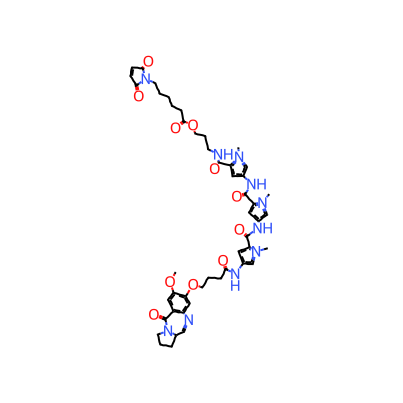 COc1cc2c(cc1OCCCC(=O)Nc1cc(C(=O)Nc3cc(C(=O)Nc4cc(C(=O)NCCCOC(=O)CCCCCN5C(=O)C=CC5=O)n(C)c4)n(C)c3)n(C)c1)N=CC1CCCN1C2=O